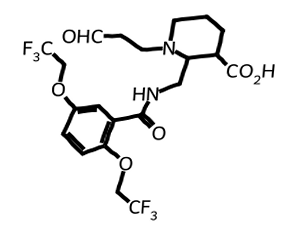 O=CCCN1CCCC(C(=O)O)C1CNC(=O)c1cc(OCC(F)(F)F)ccc1OCC(F)(F)F